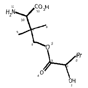 CC(C)C(O)C(=O)OCC(C)(C)C(N)C(=O)O